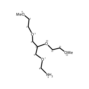 COCCOCC(COCN)OCCOC